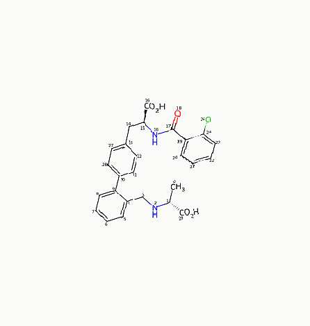 C[C@@H](NCc1ccccc1-c1ccc(C[C@H](NC(=O)c2ccccc2Cl)C(=O)O)cc1)C(=O)O